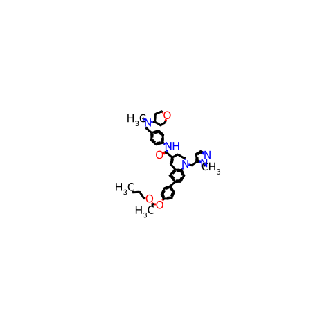 CCCCOC(C)Oc1ccc(-c2ccc3c(c2)C=C(C(=O)Nc2ccc(CN(C)C4CCOCC4)cc2)CCN3Cc2ccnn2C)cc1